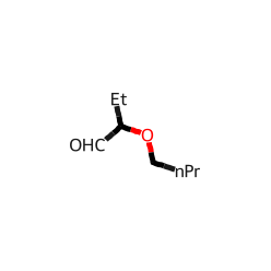 [CH2]CC(C=O)OCCCC